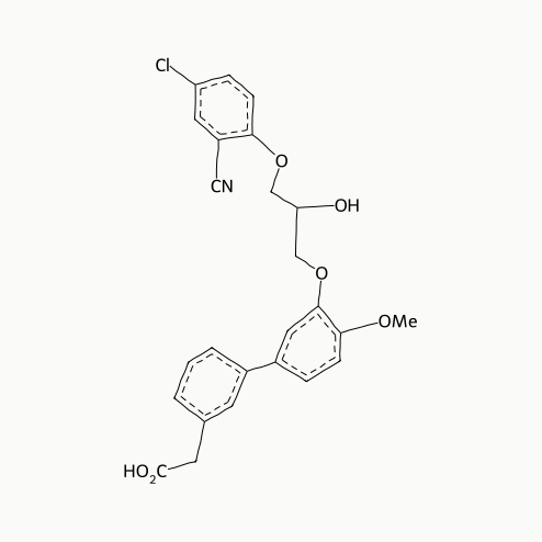 COc1ccc(-c2cccc(CC(=O)O)c2)cc1OCC(O)COc1ccc(Cl)cc1C#N